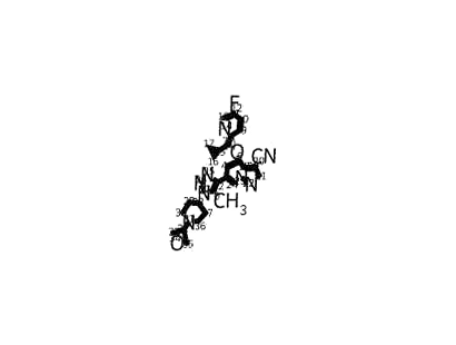 Cc1c(-c2cc(O[C@H](c3ccc(F)cn3)C3CC3)c3c(C#N)cnn3c2)nnn1C1CCN(C2COC2)CC1